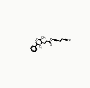 C#CCCC#COC(=O)CCC(NC(=O)c1ccccc1)C(=O)O